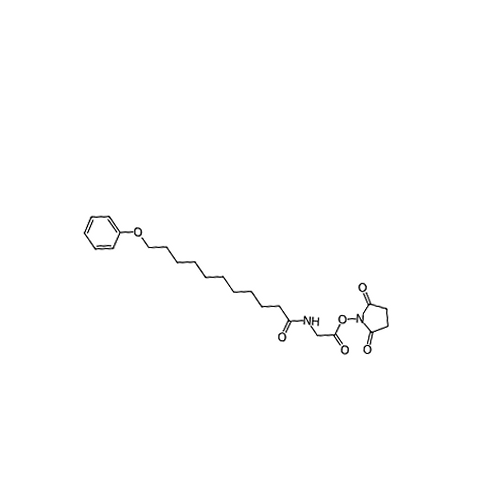 O=C(CCCCCCCCCCOc1ccccc1)NCC(=O)ON1C(=O)CCC1=O